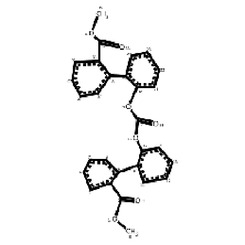 COC(=O)c1ccccc1-c1ccccc1OC(=O)Oc1ccccc1-c1ccccc1C(=O)OC